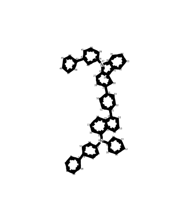 c1ccc(-c2ccc(N(c3ccccc3)c3cccc4c(-c5ccc(-c6ccc7c(c6)c6ccccc6n7-c6cccc(-c7ccccc7)c6)cc5)cccc34)cc2)cc1